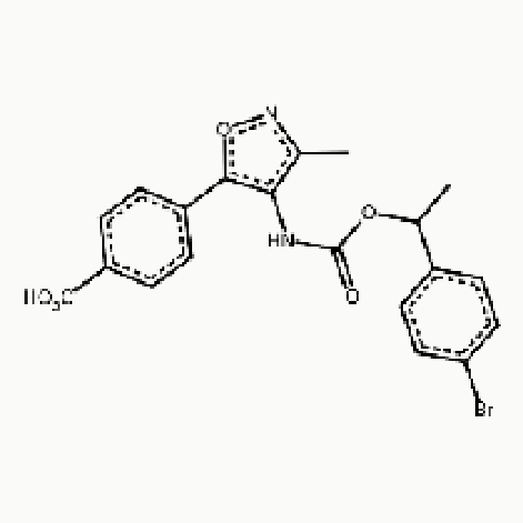 Cc1noc(-c2ccc(C(=O)O)cc2)c1NC(=O)OC(C)c1ccc(Br)cc1